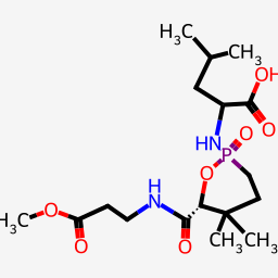 COC(=O)CCNC(=O)[C@@H]1OP(=O)(NC(CC(C)C)C(=O)O)CCC1(C)C